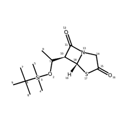 CC(O[Si](C)(C)C(C)(C)C)[C@H]1C(=O)N2CC(=O)S[C@H]12